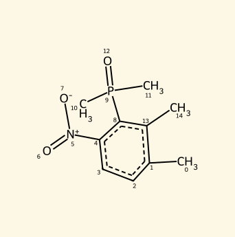 Cc1ccc([N+](=O)[O-])c(P(C)(C)=O)c1C